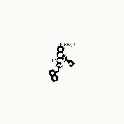 O=S(=O)(O)Nc1ccc(C[C@H](Nc2nnc(Cc3cccc4ccccc34)s2)c2csc(-c3cccs3)n2)cc1